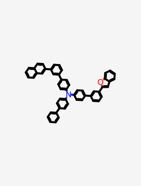 c1ccc(-c2ccc(N(c3ccc(-c4cccc(-c5ccc6ccccc6c5)c4)cc3)c3ccc(-c4cccc(-c5cc6ccccc6o5)c4)cc3)cc2)cc1